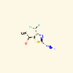 COC(=O)c1sc(N)nc1C(F)F